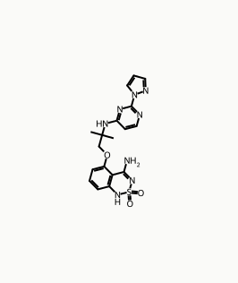 CC(C)(COc1cccc2c1C(N)=NS(=O)(=O)N2)Nc1ccnc(-n2cccn2)n1